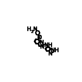 N[C@H]1CC[C@@H](Oc2cccc3cnc(Nc4ccc5nc[nH]c5c4)nc23)CC1